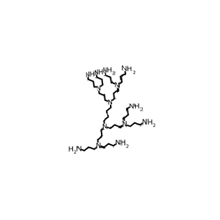 NCCCN(CCCN)CCCN(CCCCN(CCCN(CCCN)CCCN)CCCN(CCCN)CCCN)CCCN(CCCN)CCCN